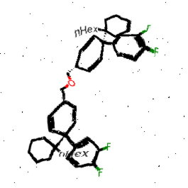 CCCCCCC1([C@]2(c3ccc(F)c(F)c3)C=C[C@H](COC[C@H]3C=C[C@@](c4ccc(F)c(F)c4)(C4(CCCCCC)CCCCC4)C=C3)C=C2)CCCCC1